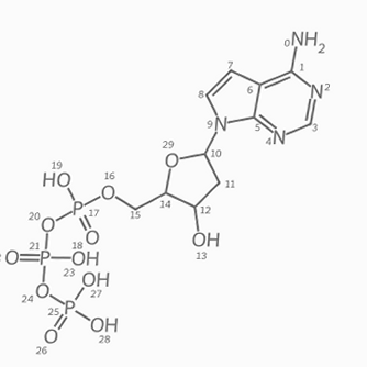 Nc1ncnc2c1ccn2C1CC(O)C(COP(=O)(O)OP(=O)(O)OP(=O)(O)O)O1